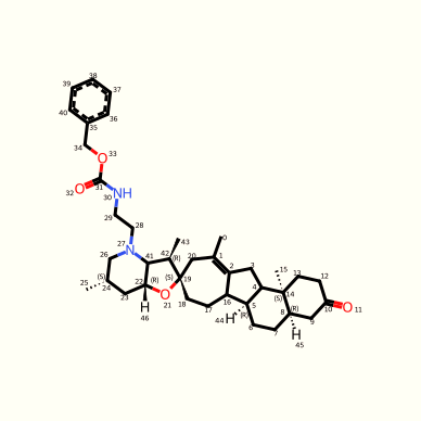 CC1=C2CC3[C@@H](CC[C@@H]4CC(=O)CC[C@]34C)C2CC[C@@]2(C1)O[C@@H]1C[C@H](C)CN(CCNC(=O)OCc3ccccc3)C1[C@H]2C